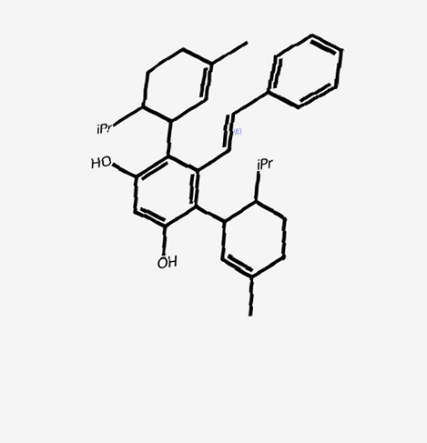 CC1=CC(c2c(O)cc(O)c(C3C=C(C)CCC3C(C)C)c2/C=C/c2ccccc2)C(C(C)C)CC1